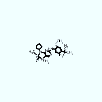 CC[C@@H]1C(=O)N(C)c2cnc(Nc3ccc(C(C)(C)C)cc3OC)nc2N1C1CCCC1